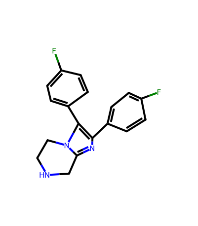 Fc1ccc(-c2nc3n(c2-c2ccc(F)cc2)CCNC3)cc1